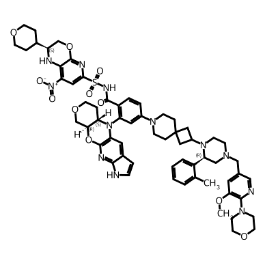 COc1cc(CN2CCN(C3CC4(CCN(c5ccc(C(=O)NS(=O)(=O)c6cc([N+](=O)[O-])c7c(n6)OC[C@H](C6CCOCC6)N7)c(N6c7cc8cc[nH]c8nc7O[C@H]7COCC[C@@H]76)c5)CC4)C3)[C@H](c3ccccc3C)C2)cnc1N1CCOCC1